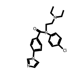 CCN(CC)CCN(C(=O)c1ccc(-n2ccnc2)cc1)c1ccc(Cl)cc1